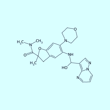 CN(C)C(=O)C1(C)Cc2cc(NC(O)c3cnn4cccnc34)c(N3CCOCC3)cc2O1